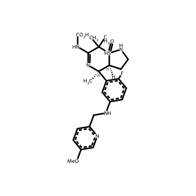 COc1ccc(CNc2ccc(F)c([C@@]3(C)N=C(NC(=O)O)C(C)(C)[SH]4(=O)NCC[C@@H]34)c2)nc1